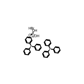 Br.O=[PH](O)O.c1ccc(P(c2ccccc2)c2ccccc2)cc1.c1ccc(P(c2ccccc2)c2ccccc2)cc1